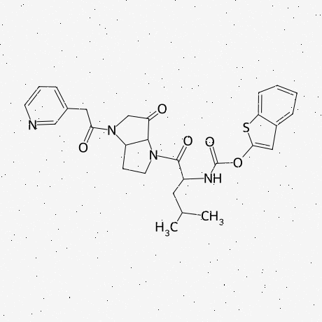 CC(C)CC(NC(=O)Oc1cc2ccccc2s1)C(=O)N1CCC2C1C(=O)CN2C(=O)Cc1cccnc1